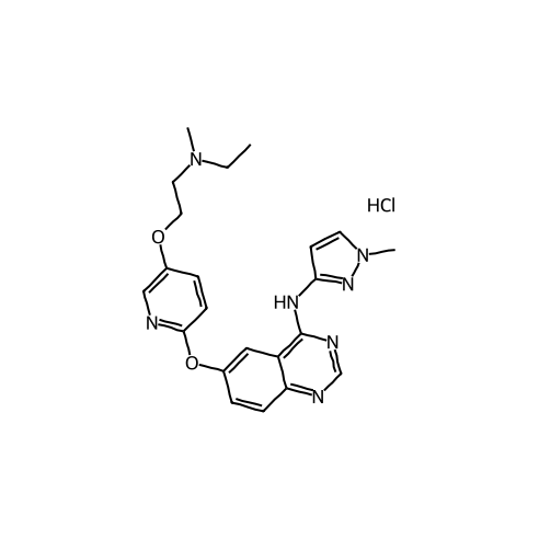 CCN(C)CCOc1ccc(Oc2ccc3ncnc(Nc4ccn(C)n4)c3c2)nc1.Cl